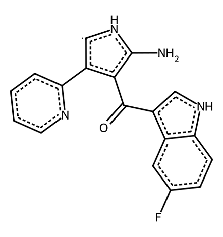 Nc1[nH][c]c(-c2ccccn2)c1C(=O)c1c[nH]c2ccc(F)cc12